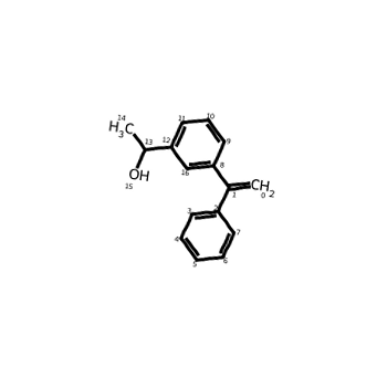 C=C(c1ccccc1)c1cccc(C(C)O)c1